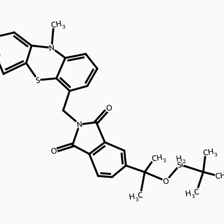 CN1c2ccccc2Sc2c(CN3C(=O)c4ccc(C(C)(C)O[SiH2]C(C)(C)C)cc4C3=O)cccc21